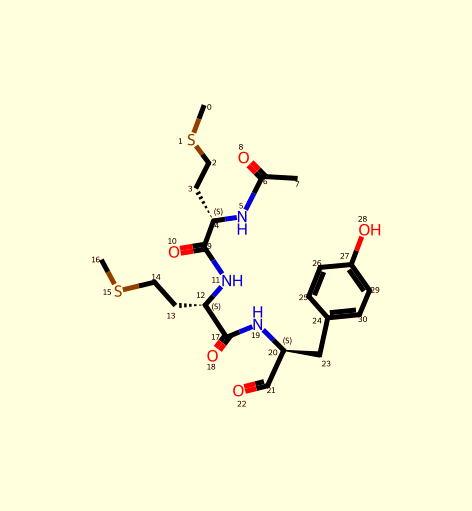 CSCC[C@H](NC(C)=O)C(=O)N[C@@H](CCSC)C(=O)N[C@H](C=O)Cc1ccc(O)cc1